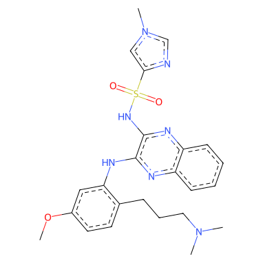 COc1ccc(CCCN(C)C)c(Nc2nc3ccccc3nc2NS(=O)(=O)c2cn(C)cn2)c1